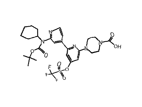 CC(C)(C)OC(=O)N(c1cc(-c2cc(OS(=O)(=O)C(F)(F)F)cc(N3CCN(C(=O)O)CC3)n2)ccn1)C1CCCCC1